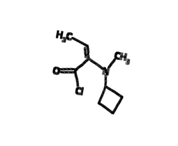 CC=C(C(=O)Cl)N(C)C1CCC1